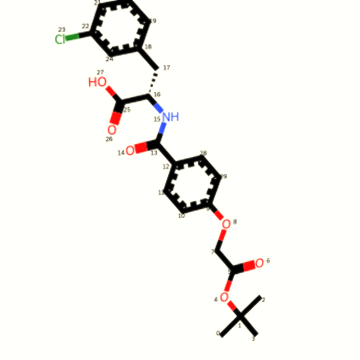 CC(C)(C)OC(=O)COc1ccc(C(=O)N[C@@H](Cc2cccc(Cl)c2)C(=O)O)cc1